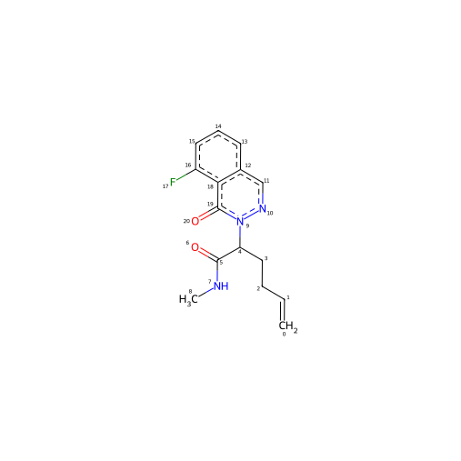 C=CCCC(C(=O)NC)n1ncc2cccc(F)c2c1=O